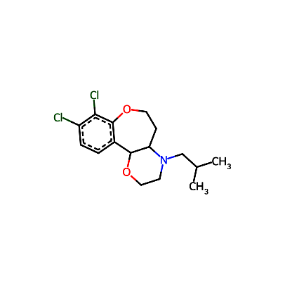 CC(C)CN1CCOC2c3ccc(Cl)c(Cl)c3OCCC21